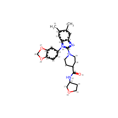 Cc1cc2nc(N3CCC(C(=O)NC4CCOC4)CC3)n(-c3ccc4c(c3)OCO4)c2cc1C